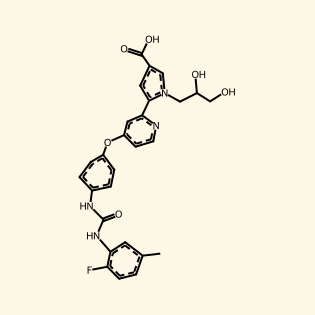 Cc1ccc(F)c(NC(=O)Nc2ccc(Oc3ccnc(-c4cc(C(=O)O)cn4CC(O)CO)c3)cc2)c1